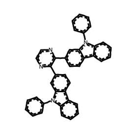 c1ccc(-n2c3ccccc3c3ccc(-c4nccnc4-c4ccc5c6ccccc6n(-c6ccccc6)c5c4)cc32)cc1